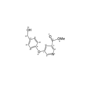 COC(=O)c1cncc(Oc2ccc(CO)cc2)c1